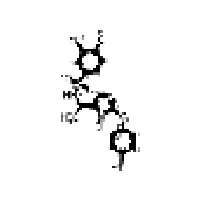 CC(NS(=O)(=O)c1ccc(Cl)c(Cl)c1)c1cnc(Oc2ccc(F)cc2)n1C